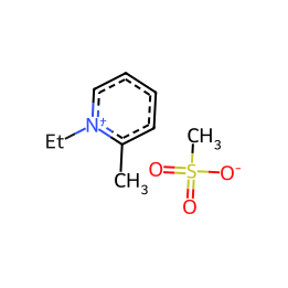 CC[n+]1ccccc1C.CS(=O)(=O)[O-]